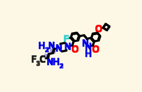 N/C(=C\C=C(/N)N1CCN(C(=O)c2cc(Cc3n[nH]c(=O)c4ccc(OC5CCC5)cc34)ccc2F)CC1)C(F)(F)F